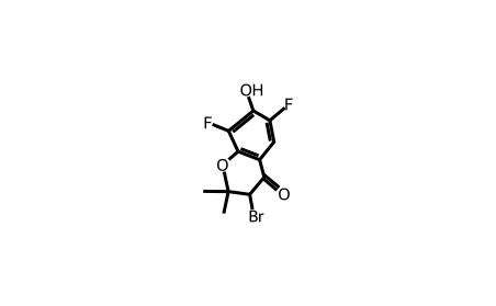 CC1(C)Oc2c(cc(F)c(O)c2F)C(=O)C1Br